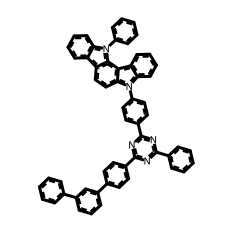 c1ccc(-c2cccc(-c3ccc(-c4nc(-c5ccccc5)nc(-c5ccc(-n6c7ccccc7c7c6ccc6c8ccccc8n(-c8ccccc8)c67)cc5)n4)cc3)c2)cc1